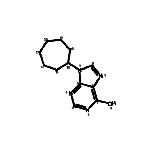 Oc1ncnc2c1ncn2C1CCCCCC1